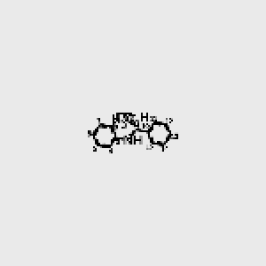 C[C@@H](Nc1ccccc1C(=O)O)c1ccccc1